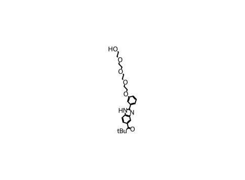 CC(C)(C)C(=O)c1ccc2[nH]c(-c3cccc(OCCOCCOCCOCCO)c3)nc2c1